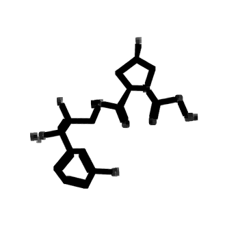 C/C(=C(\F)CNC(=O)[C@H]1C[C@@H](F)CN1C(=O)OC(C)(C)C)c1cccc(Cl)c1